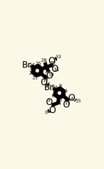 COC(=O)Cc1cc(Br)ccc1C(=O)OC.COC(=O)c1ccc(Br)cc1C(C)(C)C(=O)OC